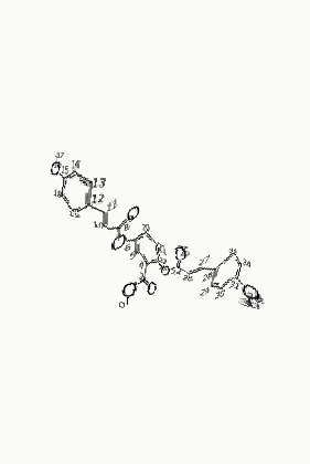 COC(=O)c1cc(OC(=O)/C=C/c2ccc(OC)cc2)ccc1OC(=O)/C=C/c1ccc(OC)cc1